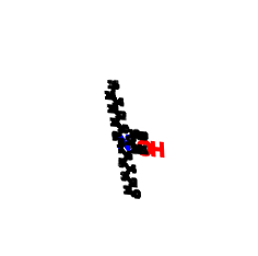 CCCCCCCCN(CCCCCCCC)C(CC)CO